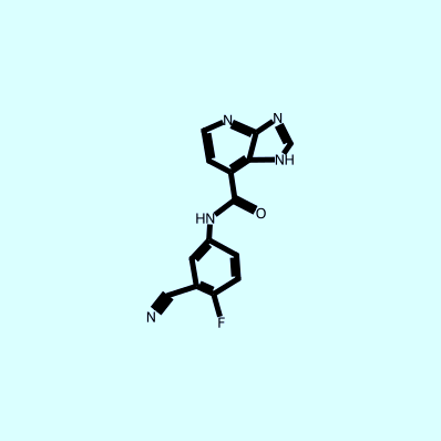 N#Cc1cc(NC(=O)c2ccnc3nc[nH]c23)ccc1F